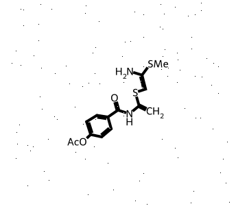 C=C(NC(=O)c1ccc(OC(C)=O)cc1)S/C=C(\N)SC